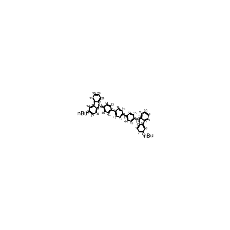 CCCCc1ccc2c(c1)c1ccccc1n2-c1ccc(-c2ccc(-c3ccc(-n4c5ccccc5c5cc(CCCC)ccc54)cc3)cc2)cc1